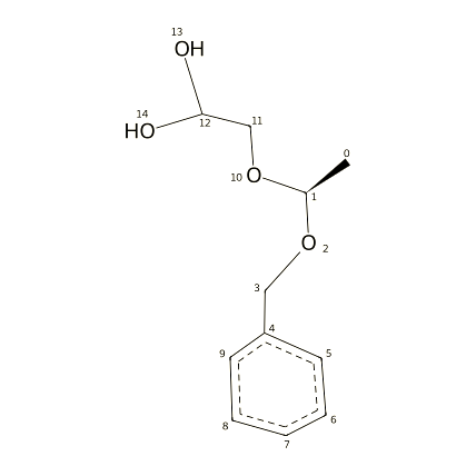 C[C@@H](OCc1ccccc1)OCC(O)O